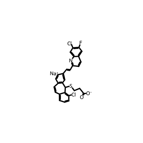 O=C([O-])CCSC1c2cc(C=Cc3ccc4cc(F)c(Cl)cc4n3)ccc2C=Cc2cccc(Cl)c21.[Na+]